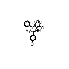 CC(Nc1c(Cl)nnnc1Nc1ccccc1)c1ccc(O)cc1